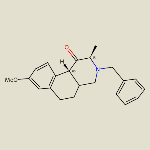 COc1ccc2c(c1)CCC1CN(Cc3ccccc3)[C@H](C)C(=O)[C@@H]21